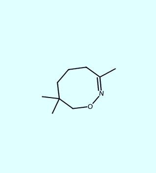 C/C1=N/OCC(C)(C)CCC1